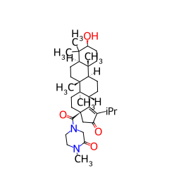 CC(C)C1=C2[C@H]3CC[C@@H]4[C@@]5(C)CC[C@H](O)C(C)(C)[C@@H]5CC[C@@]4(C)[C@]3(C)CC[C@@]2(C(=O)N2CCN(C)C(=O)C2)CC1=O